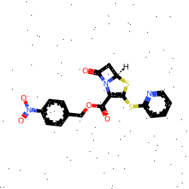 O=C(OCc1ccc([N+](=O)[O-])cc1)C1=C(Sc2ccccn2)S[C@@H]2CC(=O)N12